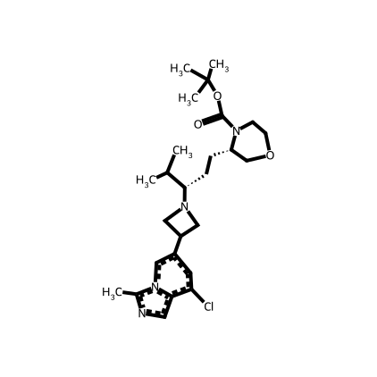 Cc1ncc2c(Cl)cc(C3CN([C@@H](CC[C@H]4COCCN4C(=O)OC(C)(C)C)C(C)C)C3)cn12